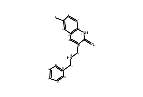 Cc1ccc2[nH]c(=O)c(CNCc3ccccc3)cc2c1